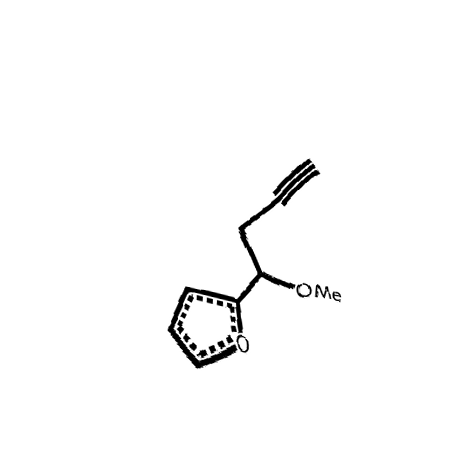 C#CCC(OC)c1ccco1